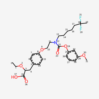 CCOC(Cc1ccc(OCCN(CCCCCC(C)(F)F)C(=O)Oc2cccc(OC)c2)cc1)C(=O)O